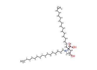 CCCCCCCCCCCCCCCCN1C[C@H](O)C[C@@]1(CCCCCCCCCCCCCCCC)C(=O)O